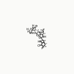 COC(=O)C(C[C@@H]1CC(C)(C)NC1=O)NC(=O)C(CC1CC1)NC(=O)c1cc2ccc(F)c(Cl)c2[nH]1